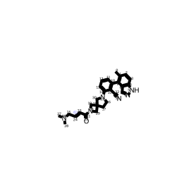 Cc1ccc2[nH]ncc2c1-c1cccc(N2CCC3(CN(C(=O)/C=C/CN(C)C)C3)C2)c1C#N